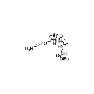 CC(C)COC(=O)NCCNC(=O)[C@H](C)NC(=O)[C@@H](NC(=O)CCOCCOCCN)C(C)C